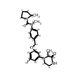 CC1CCCN1C(=O)N(C)c1ccc(COc2cc(F)cc(N3CCNC(=O)C3C)c2)cc1